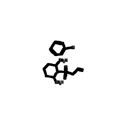 C=CCS(=O)(=O)N1C(C(=O)O)CCCC1C(=O)O.Clc1ccccc1